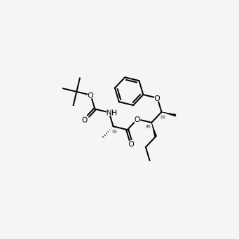 CCC[C@@H](OC(=O)[C@H](C)NC(=O)OC(C)(C)C)[C@H](C)Oc1ccccc1